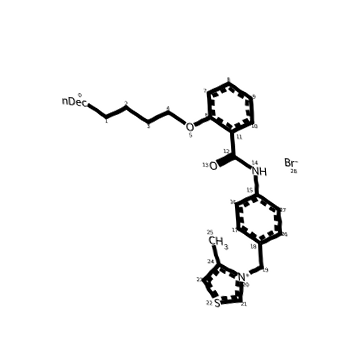 CCCCCCCCCCCCCCOc1ccccc1C(=O)Nc1ccc(C[n+]2cscc2C)cc1.[Br-]